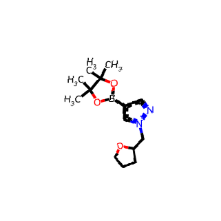 CC1(C)OB(c2cnn(CC3CCCO3)c2)OC1(C)C